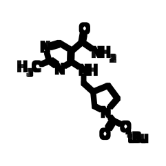 Cc1ncc(C(N)=O)c(NCC2CCN(C(=O)OC(C)(C)C)C2)n1